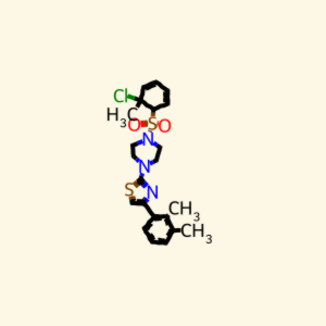 Cc1cccc(-c2csc(N3CCN(S(=O)(=O)C4C=CC=CC4(C)Cl)CC3)n2)c1C